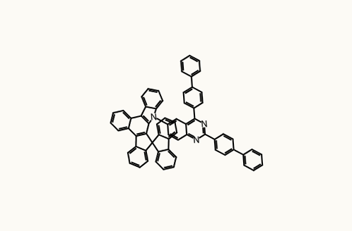 c1ccc(-c2ccc(-c3nc(-c4ccc(-c5ccccc5)cc4)c4cc(-n5c6ccccc6c6c7ccccc7c7c(c65)C5(c6ccccc6-c6ccccc65)c5ccccc5-7)ccc4n3)cc2)cc1